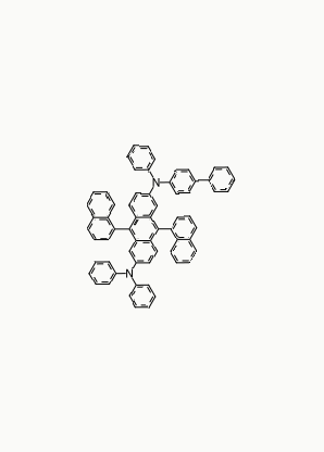 c1ccc(-c2ccc(N(c3ccccc3)c3ccc4c(-c5cccc6ccccc56)c5cc(N(c6ccccc6)c6ccccc6)ccc5c(-c5cccc6ccccc56)c4c3)cc2)cc1